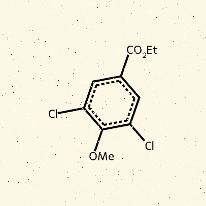 CCOC(=O)c1cc(Cl)c(OC)c(Cl)c1